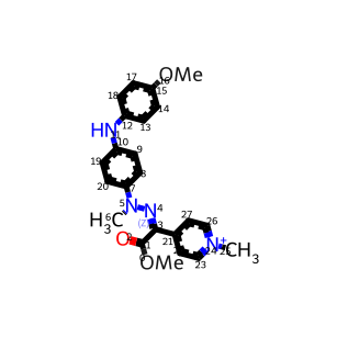 COC(=O)/C(=N\N(C)c1ccc(Nc2ccc(OC)cc2)cc1)c1cc[n+](C)cc1